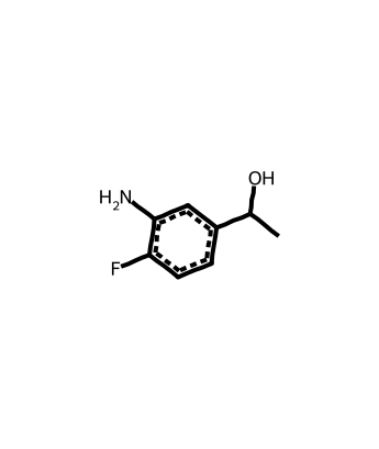 CC(O)c1ccc(F)c(N)c1